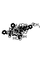 COc1ccc(Cn2c(=O)ccn([C@@H]3O[C@H](C(O)[C@H](NCCCNC(=O)[C@H](Cc4ccccc4)NC(=O)OCc4ccccc4)C(=O)O)[C@@H](O[Si](C)(C)C(C)(C)C)[C@H]3O[Si](C)(C)C(C)(C)C)c2=O)cc1